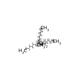 CCCCCCCCP(C)(N)(CCCCCCCC)CCCCCCCC